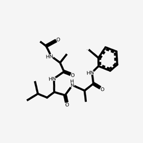 [CH2]c1ccccc1NC(=O)C(C)NC(=O)C(CC(C)C)NC(=O)C(C)NC(C)=O